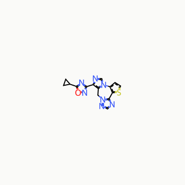 c1nc2n(n1)Cc1c(-c3noc(C4CC4)n3)ncn1-c1ccsc1-2